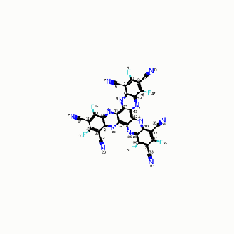 N#Cc1c(F)c(C#N)c2nc3c4nc5c(F)c(C#N)c(F)c(C#N)c5nc4c4nc5c(F)c(C#N)c(F)c(C#N)c5nc4c3nc2c1F